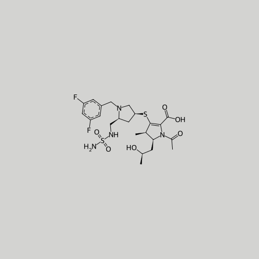 CC(=O)N1C(C(=O)O)=C(S[C@H]2C[C@@H](CNS(N)(=O)=O)N(Cc3cc(F)cc(F)c3)C2)[C@H](C)[C@@H]1C[C@@H](C)O